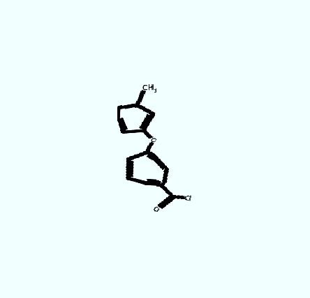 CC1C=C(Oc2cccc(C(=O)Cl)c2)C=CC1